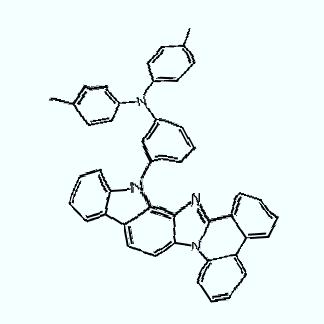 Cc1ccc(N(c2ccc(C)cc2)c2cccc(-n3c4ccccc4c4ccc5c(nc6c7ccccc7c7ccccc7n56)c43)c2)cc1